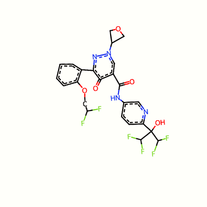 O=C(Nc1ccc(C(O)(C(F)F)C(F)F)nc1)c1cn(C2COC2)nc(-c2ccccc2OCC(F)F)c1=O